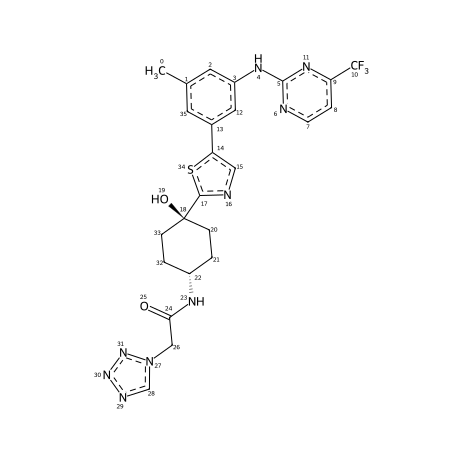 Cc1cc(Nc2nccc(C(F)(F)F)n2)cc(-c2cnc([C@]3(O)CC[C@H](NC(=O)Cn4cnnn4)CC3)s2)c1